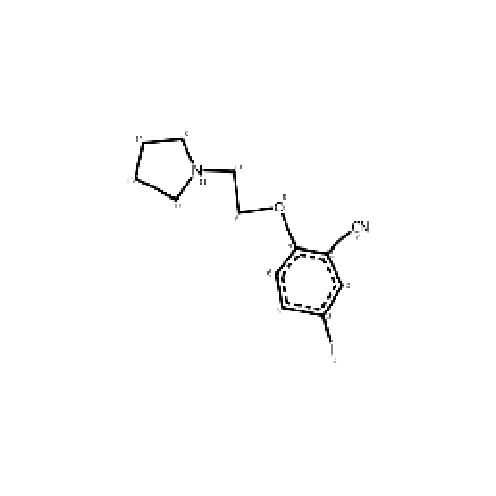 N#Cc1cc(I)ccc1OCCN1CCCC1